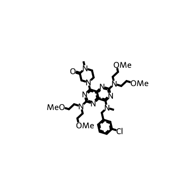 COCCN(CCOC)c1nc(N2CCN(C)C(=O)C2)c2nc(N(CCOC)CCOC)nc(N(C)Cc3cccc(Cl)c3)c2n1